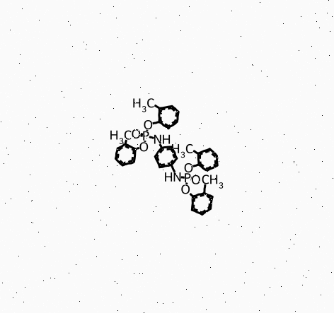 Cc1ccccc1OP(=O)(Nc1ccc(NP(=O)(Oc2ccccc2C)Oc2ccccc2C)cc1)Oc1ccccc1C